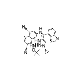 CC(C)(C)ONc1c(C#N)cnc2c(C#N)cc(N[C@H](C3=CN(C4CC4)NN3)c3cccc4ncsc34)cc12